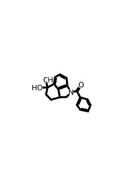 CC1(O)CCC2CN(C(=O)c3ccccc3)c3cccc1c32